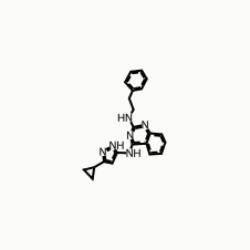 c1ccc(CCNc2nc(Nc3cc(C4CC4)n[nH]3)c3ccccc3n2)cc1